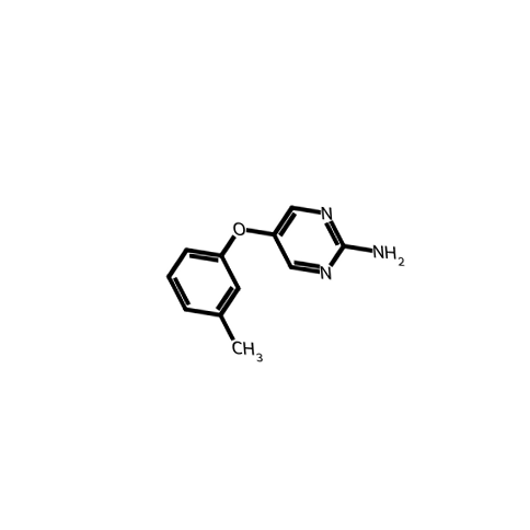 Cc1cccc(Oc2cnc(N)nc2)c1